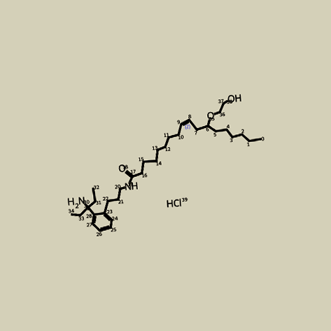 CCCCCCC(C/C=C\CCCCCCCC(=O)NCCCc1ccccc1C(N)(CC)CC)OCCO.Cl